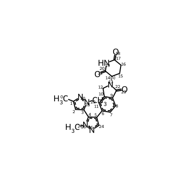 Cc1cc(-c2c(-c3ccc4c(c3)CN([C@H]3CCC(=O)NC3=O)C4=O)cnn2C)n(C)n1